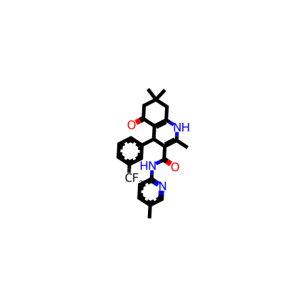 CC1=C(C(=O)Nc2ccc(C)cn2)C(c2cccc(C(F)(F)F)c2)C2=C(CC(C)(C)CC2=O)N1